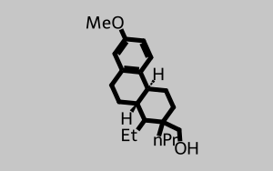 CCCC1(CO)CC[C@@H]2c3ccc(OC)cc3CC[C@H]2C1CC